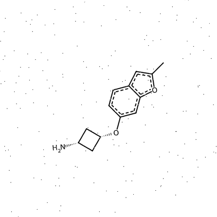 Cc1cc2ccc(O[C@H]3C[C@@H](N)C3)cc2o1